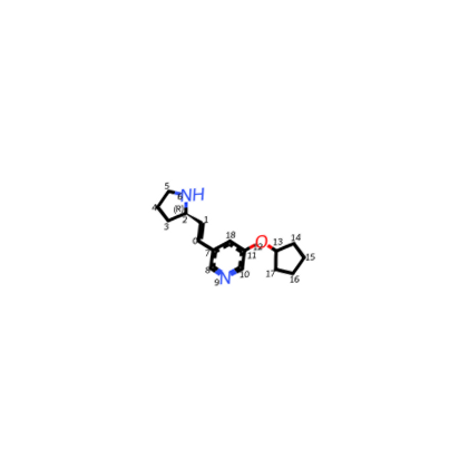 C(=C[C@H]1CCCN1)c1cncc(OC2CCCC2)c1